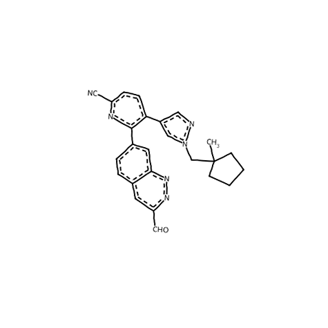 CC1(Cn2cc(-c3ccc(C#N)nc3-c3ccc4cc(C=O)nnc4c3)cn2)CCCC1